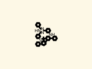 CC1(C)c2ccccc2-c2cc(-c3ccccc3)c(Nc3cccc(C4=NC(c5ccccc5)NC(c5cccc([SiH2]c6ccccc6)c5)=N4)c3)cc21